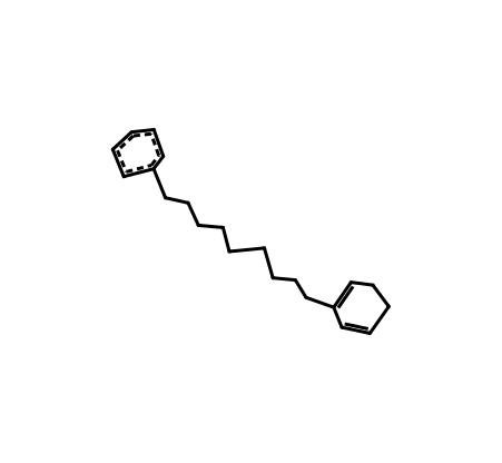 C1=CC(CCCCCCCCCc2ccccc2)=CCC1